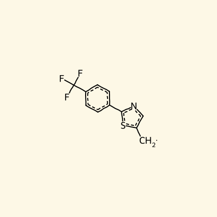 [CH2]c1cnc(-c2ccc(C(F)(F)F)cc2)s1